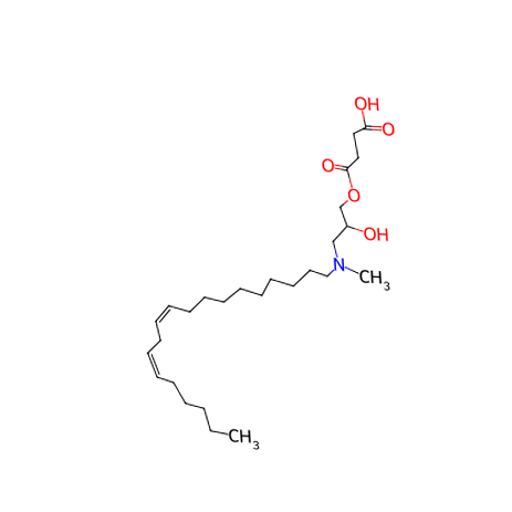 CCCCC/C=C\C/C=C\CCCCCCCCCN(C)CC(O)COC(=O)CCC(=O)O